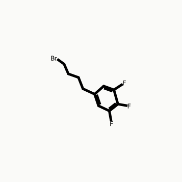 Fc1cc(CCCCBr)cc(F)c1F